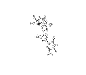 Cc1cn([C@H]2C[C@@H](O)[C@H](CO[P@](=O)(O)O[P@](=O)(O)OP(=O)(O)O)O2)c(=O)[nH]c1=O